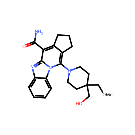 COCC1(CO)CCN(c2c3c(c(C(N)=O)c4nc5ccccc5n24)CCC3)CC1